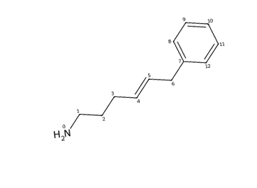 NCCCC=CCc1ccccc1